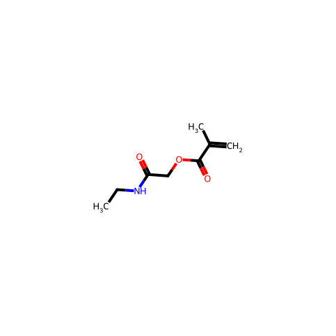 C=C(C)C(=O)OCC(=O)NCC